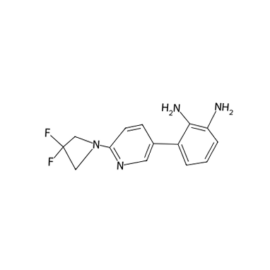 Nc1cccc(-c2ccc(N3CC(F)(F)C3)nc2)c1N